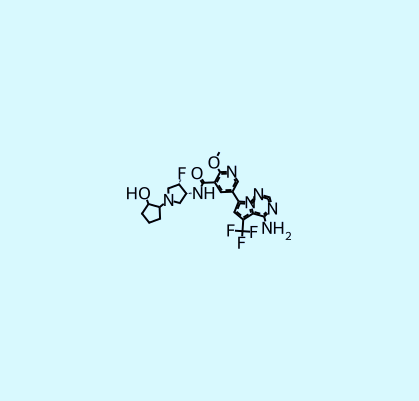 COc1ncc(-c2cc(C(F)(F)F)c3c(N)ncnn23)cc1C(=O)N[C@@H]1CN(C2CCCC2O)C[C@@H]1F